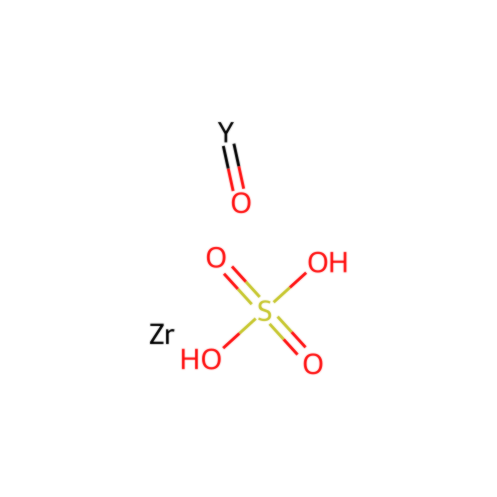 O=S(=O)(O)O.[O]=[Y].[Zr]